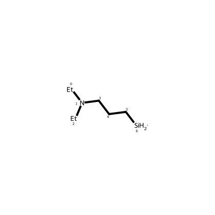 CCN(CC)CCC[SiH2]